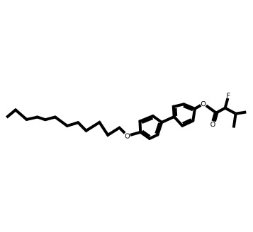 CCCCCCCCCCCCOc1ccc(-c2ccc(OC(=O)C(F)C(C)C)cc2)cc1